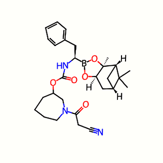 CC1(C)[C@@H]2C[C@H]3OB([C@H](Cc4ccccc4)NC(=O)OC4CCCCN(C(=O)CC#N)C4)O[C@@]3(C)[C@H]1C2